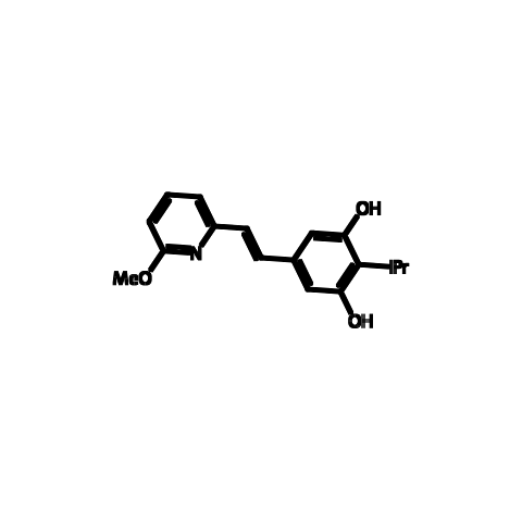 COc1cccc(/C=C/c2cc(O)c(C(C)C)c(O)c2)n1